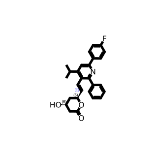 CC(C)c1cc(-c2ccc(F)cc2)nc(-c2ccccc2)c1/C=C/[C@@H]1C[C@@H](O)CC(=O)O1